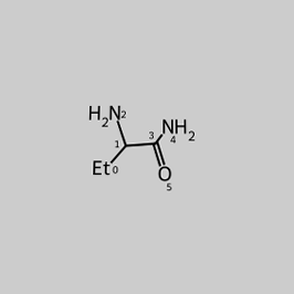 [CH2]CC(N)C(N)=O